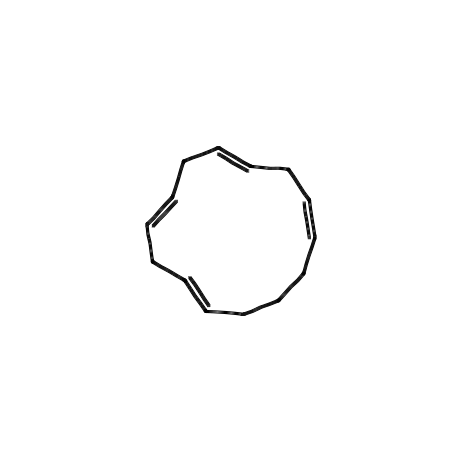 C1=C\CCC/C=C/C/C=C/C/C=C/C/1